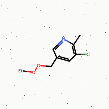 CCOOCc1cnc(C)c(Cl)c1